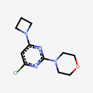 Clc1cc(N2CCC2)nc(N2CCOCC2)n1